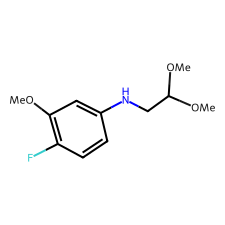 COc1cc(NCC(OC)OC)ccc1F